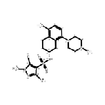 Cc1ccc(N2CCN(C)CC2)c2c1CC[C@@H](NS(=O)(=O)c1c(C)nn(C)c1Cl)C2